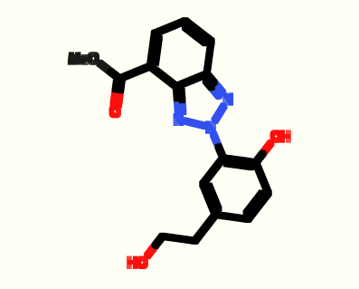 COC(=O)c1cccc2nn(-c3cc(CCO)ccc3O)nc12